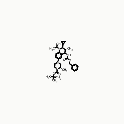 CC(O)N1c2ccc(N3CCN(C(=O)OC(C)(C)C)[C@@H](C)C3)cc2C(NC(=O)OCc2ccccc2)[C@@H](C)C1C1CC1